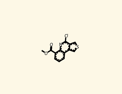 COC(=O)c1cccc2c1nc(Cl)c1cscc12